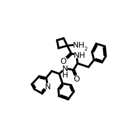 NC1(C(=O)NC(Cc2ccccc2)C(=O)NC(Cc2ccccn2)c2ccccc2)CCC1